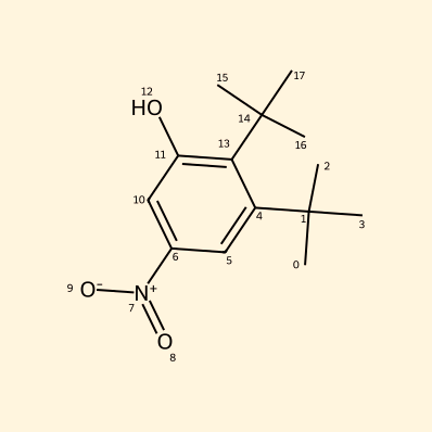 CC(C)(C)c1cc([N+](=O)[O-])cc(O)c1C(C)(C)C